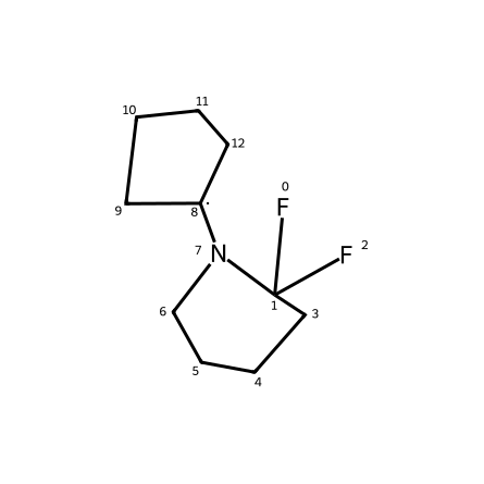 FC1(F)CCCCN1[C]1CCCC1